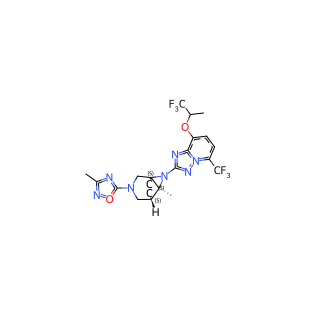 Cc1noc(N2C[C@@H]3CC[C@@]4(C2)N(c2nc5c(OC(C)C(F)(F)F)ccc(C(F)(F)F)n5n2)[C@@]34C)n1